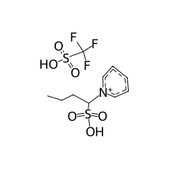 CCCC([n+]1ccccc1)S(=O)(=O)O.O=S(=O)(O)C(F)(F)F